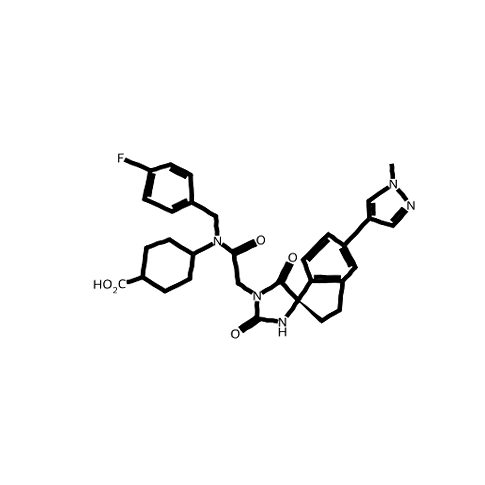 Cn1cc(-c2ccc3c(c2)CC[C@]32NC(=O)N(CC(=O)N(Cc3ccc(F)cc3)C3CCC(C(=O)O)CC3)C2=O)cn1